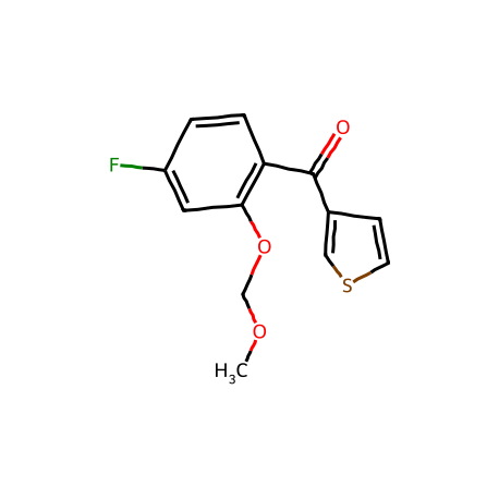 COCOc1cc(F)ccc1C(=O)c1ccsc1